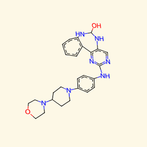 OC1Nc2ccccc2-c2nc(Nc3ccc(N4CCC(N5CCOCC5)CC4)cc3)ncc2N1